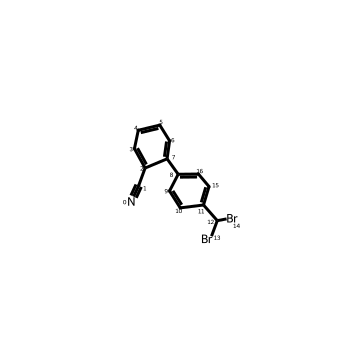 N#Cc1ccccc1-c1ccc(C(Br)Br)cc1